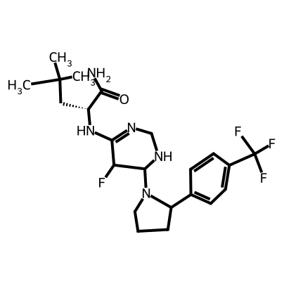 CC(C)(C)C[C@@H](NC1=NCNC(N2CCCC2c2ccc(C(F)(F)F)cc2)C1F)C(N)=O